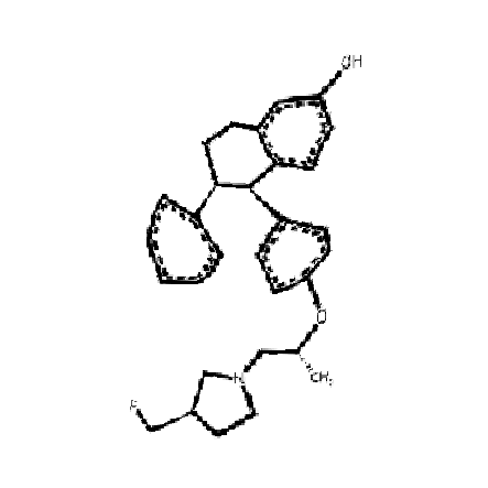 C[C@H](CN1CC[C@@H](CF)C1)Oc1ccc([C@@H]2c3ccc(O)cc3CC[C@@H]2c2ccccc2)cc1